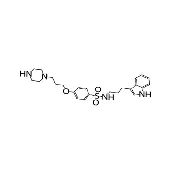 O=S(=O)(NCCCc1c[nH]c2ccccc12)c1ccc(OCCCN2CCNCC2)cc1